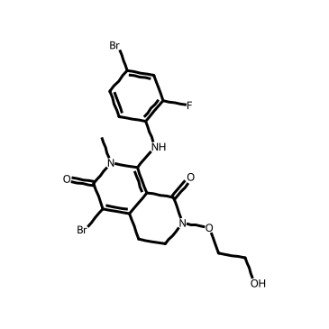 Cn1c(Nc2ccc(Br)cc2F)c2c(c(Br)c1=O)CCN(OCCO)C2=O